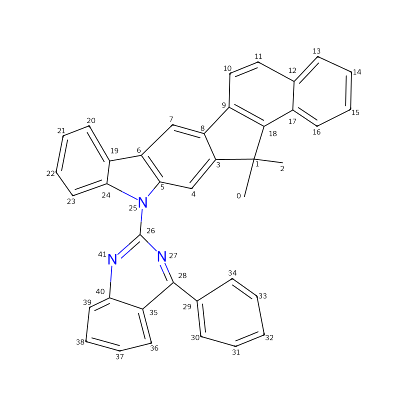 CC1(C)c2cc3c(cc2-c2ccc4ccccc4c21)c1ccccc1n3-c1nc(-c2ccccc2)c2ccccc2n1